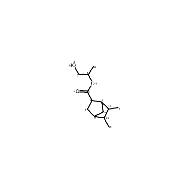 CC(CO)OC(=O)C1CC2CC1C(C)C2C